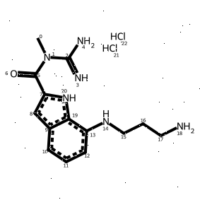 CN(C(=N)N)C(=O)c1cc2cccc(NCCCN)c2[nH]1.Cl.Cl